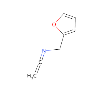 C=C=NCc1ccco1